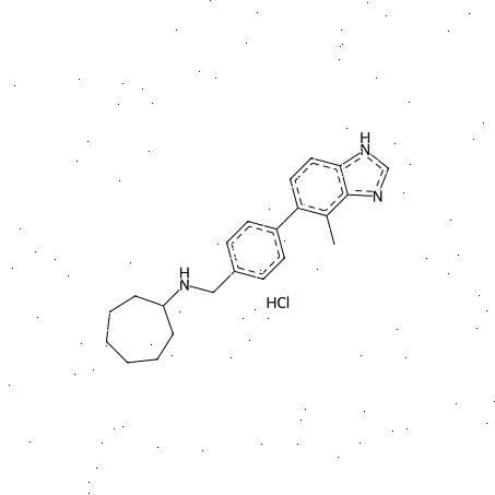 Cc1c(-c2ccc(CNC3CCCCCC3)cc2)ccc2[nH]cnc12.Cl